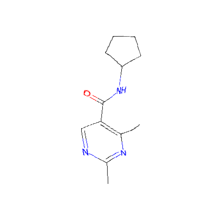 Cc1ncc(C(=O)NC2CCCC2)c(C)n1